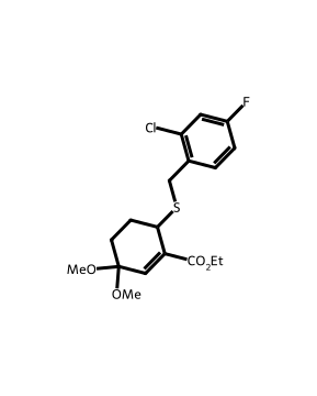 CCOC(=O)C1=CC(OC)(OC)CCC1SCc1ccc(F)cc1Cl